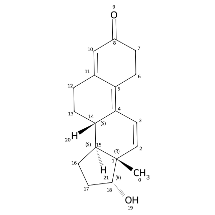 C[C@]12C=CC3=C4CCC(=O)C=C4CC[C@H]3[C@@H]1CC[C@H]2O